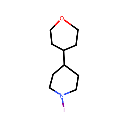 IN1CCC(C2CCOCC2)CC1